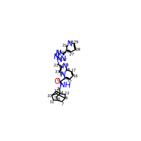 O=C(NCC12CC3CC(CC(C3)C1)C2)c1cccc2nc(Cn3nnc(-c4cccnc4)n3)cn12